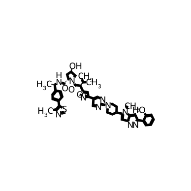 Cc1ncsc1-c1ccc([C@H](C)NC(=O)[C@@H]2C[C@@H](O)CN2C(=O)[C@H](c2cc(-c3cnc(N4CCC(c5cc6nnc(-c7ccccc7O)cc6n5C)CC4)nc3)no2)C(C)C)cc1